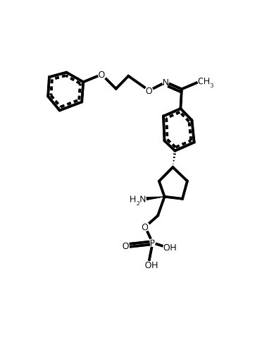 CC(=NOCCOc1ccccc1)c1ccc([C@@H]2CC[C@](N)(COP(=O)(O)O)C2)cc1